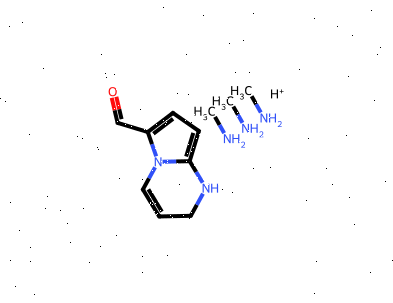 CN.CN.CN.O=Cc1ccc2n1C=CCN2.[H+]